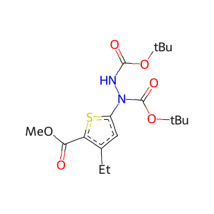 CCc1cc(N(NC(=O)OC(C)(C)C)C(=O)OC(C)(C)C)sc1C(=O)OC